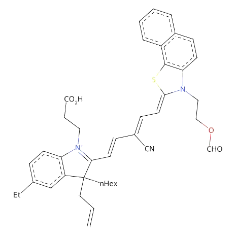 C=CCC1(CCCCCC)C(/C=C/C(C#N)=C/C=C2\Sc3c(ccc4ccccc34)N2CCOC=O)=[N+](CCC(=O)O)c2ccc(CC)cc21